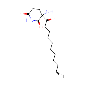 C=CCCCCCCCCC(=O)C1(N)CCC(=O)NC1=O